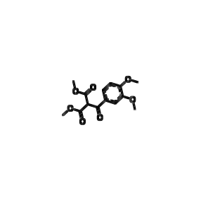 COC(=O)C(C(=O)OC)C(=O)c1ccc(OC)c(OC)c1